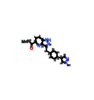 CNC(=O)c1ccc2[nH]nc(Cc3ccc(-c4cnn(C)c4)cc3)c2n1